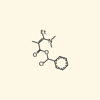 CCC(=C(C)C(=O)OC(Cl)c1ccccc1)N(C)C